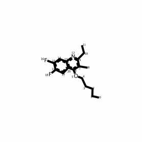 CCCCCOc1c(C)c(CC)nc2cc(F)c(F)cc12